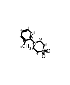 Cc1cccnc1N1CCS(=O)(=O)CC1